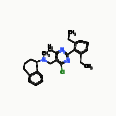 CCc1cccc(CC)c1-c1nc(C)c(CN(C)C2CCCc3ccccc32)c(Cl)n1